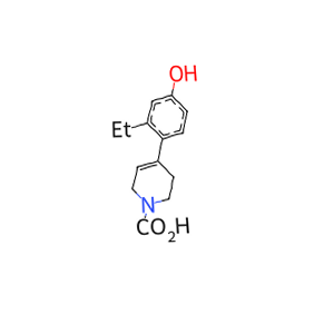 CCc1cc(O)ccc1C1=CCN(C(=O)O)CC1